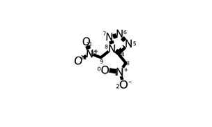 O=[N+]([O-])Cc1nnnn1C[N+](=O)[O-]